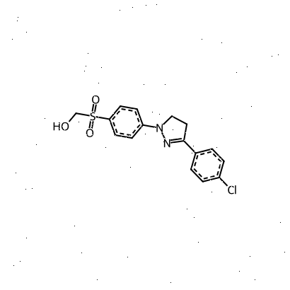 O=S(=O)(CO)c1ccc(N2CCC(c3ccc(Cl)cc3)=N2)cc1